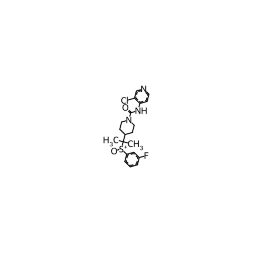 CC(C)(C1CCN(C(=O)Nc2ccncc2Cl)CC1)[S+]([O-])c1cccc(F)c1